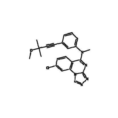 COC(C)(C)C#Cc1cccc(N(C)c2nc3nncn3c3cc(Cl)ccc23)c1